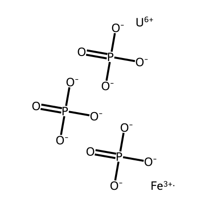 O=P([O-])([O-])[O-].O=P([O-])([O-])[O-].O=P([O-])([O-])[O-].[Fe+3].[U+6]